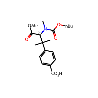 CCCCOC(=O)N(C)[C@H](C(=O)OC)C(C)(C)c1ccc(C(=O)O)cc1